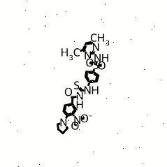 Cc1cc(C)nc(NS(=O)(=O)c2ccc(NC(=S)NC(=O)c3ccc(N4CCCC4)c([N+](=O)[O-])c3)cc2)n1